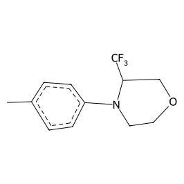 Cc1ccc(N2CCOCC2C(F)(F)F)cc1